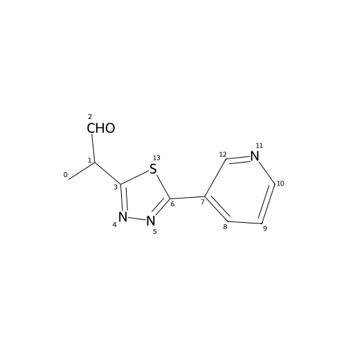 CC(C=O)c1nnc(-c2cccnc2)s1